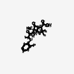 CC(Sc1ccccc1I)C(=O)N[C@@]1(C#N)C(=O)N2[C@@H](C(=O)O)C(C)(C)S[C@@H]21